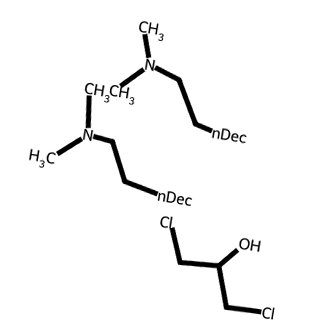 CCCCCCCCCCCCN(C)C.CCCCCCCCCCCCN(C)C.OC(CCl)CCl